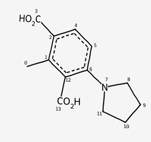 Cc1c(C(=O)O)ccc(N2CCCC2)c1C(=O)O